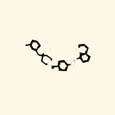 Cc1cccc(CC2(O)CCN(C(=O)c3ccc(NSc4cccc5cccnc45)cc3)CC2)c1